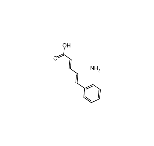 N.O=C(O)C=CC=Cc1ccccc1